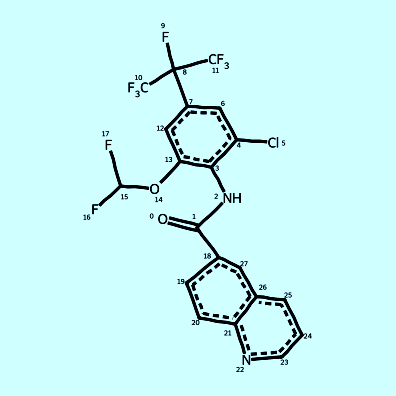 O=C(Nc1c(Cl)cc(C(F)(C(F)(F)F)C(F)(F)F)cc1OC(F)F)c1ccc2ncccc2c1